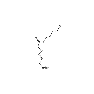 CCC=CCCOC(=O)C(C)OC=CCCCCCCCCCC